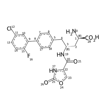 N[C@H](C[C@@H](Cc1ccc(-c2cc(Cl)ccc2F)cc1)NC(=O)c1coc(=O)[nH]1)C(=O)O